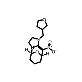 O=[N+]([O-])C1=C2N(CC3CCOC3)CCN2[C@H]2CCC[C@@H]1O2